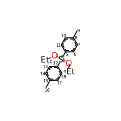 CCO[Si](OCC)(c1ccc(C)cc1)c1ccc(C)cc1